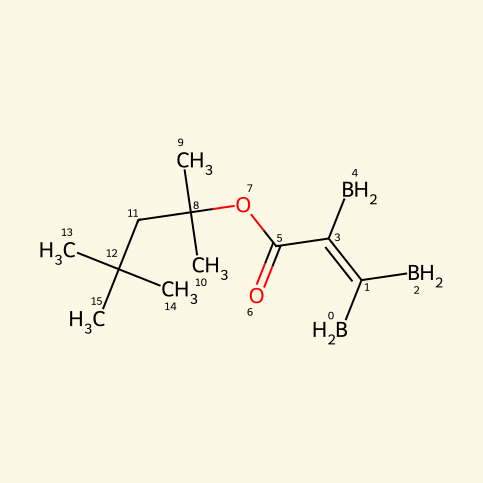 BC(B)=C(B)C(=O)OC(C)(C)CC(C)(C)C